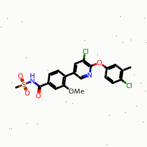 COc1cc(C(=O)NS(C)(=O)=O)ccc1-c1cnc(Oc2ccc(Cl)c(C)c2)c(Cl)c1